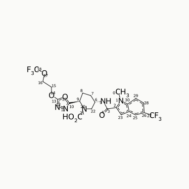 Cn1c(C(=O)N[C@H]2CC[C@H](c3nnc(OCCOC(F)(F)F)o3)N(C(=O)O)C2)cc2cc(C(F)(F)F)ccc21